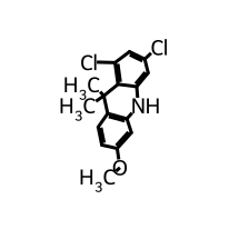 COc1ccc2c(c1)Nc1cc(Cl)cc(Cl)c1C2(C)C